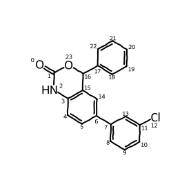 O=C1Nc2ccc(-c3cccc(Cl)c3)cc2C(c2ccccc2)O1